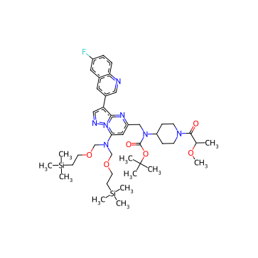 COC(C)C(=O)N1CCC(N(Cc2cc(N(COCC[Si](C)(C)C)COCC[Si](C)(C)C)n3ncc(-c4cnc5ccc(F)cc5c4)c3n2)C(=O)OC(C)(C)C)CC1